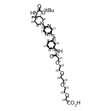 CC1(NC(=O)OC(C)(C)C)CCN(c2cnc(Sc3cccc(NC(=O)COCCOCCOCCOCC(=O)O)c3)cn2)CC1